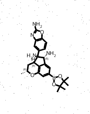 C[C@@H]1C[C@@H]2c3c(cc(B4OC(C)(C)C(C)(C)O4)cc3[C@@H](N)[C@@]2(N)c2ccc3oc(N)nc3c2)O1